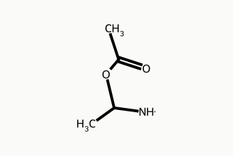 CC(=O)OC(C)[NH]